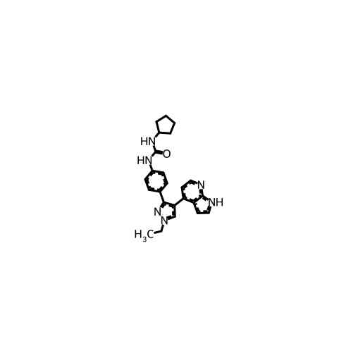 CCn1cc(-c2ccnc3[nH]ccc23)c(-c2ccc(NC(=O)NC3CCCC3)cc2)n1